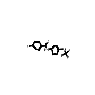 O=C(Nc1ccc(OC(F)(F)F)cc1)c1ccc(F)cc1